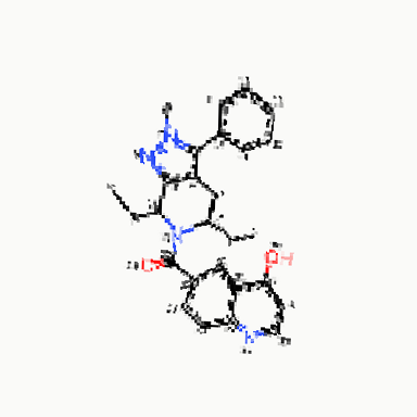 CCC1Cc2c(nn(C)c2-c2ccccc2)C(CC)N1C(=O)c1ccc2nccc(O)c2c1